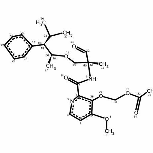 COc1ccnc(C(=O)N[C@@](C)(C=O)CO[C@@H](C)[C@@H](c2ccccc2)C(C)C)c1OCOC(C)=O